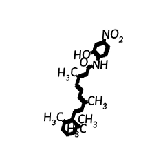 CC(C=CC1=C(C)CCCC1(C)C)=CC=CC(C)=CC(=O)Nc1ccc([N+](=O)[O-])cc1O